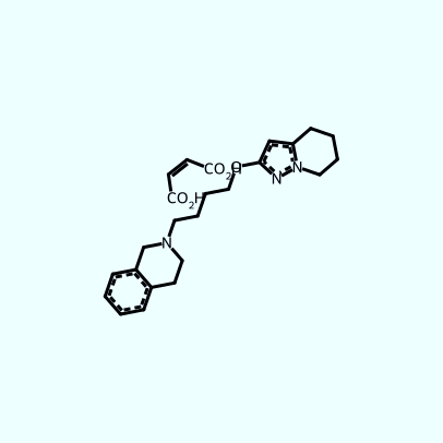 O=C(O)/C=C\C(=O)O.c1ccc2c(c1)CCN(CCCCOc1cc3n(n1)CCCC3)C2